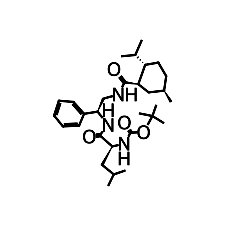 CC(C)C[C@H](NC(=O)OC(C)(C)C)C(=O)N[C@H](CNC(=O)[C@@H]1C[C@H](C)CC[C@H]1C(C)C)c1ccccc1